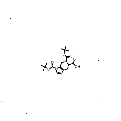 CC(C)(C)OC(=O)N1Cc2c(ncn2C(=O)OC(C)(C)C)CC1C(=O)O